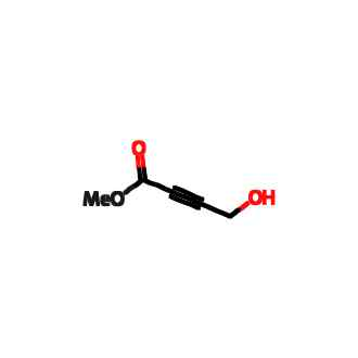 COC(=O)C#CCO